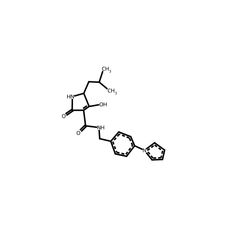 CC(C)CC1NC(=O)C(C(=O)NCc2ccc(-n3cccc3)cc2)=C1O